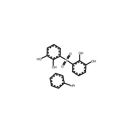 CCCc1ccccc1.O=S(=O)(c1cccc(O)c1O)c1cccc(O)c1O